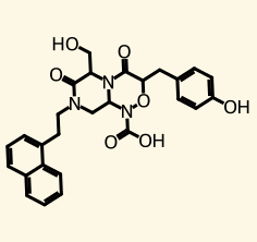 O=C1C(CO)N2C(=O)C(Cc3ccc(O)cc3)ON(C(=O)O)C2CN1CCc1cccc2ccccc12